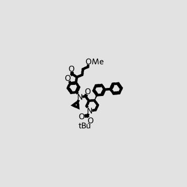 COCCCC1C(=O)Oc2ccc(N(C(=O)C3CN(C(=O)OC(C)(C)C)CC[C@@H]3c3cccc(-c4ccccc4)c3)C3CC3)cc21